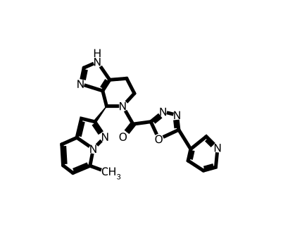 Cc1cccc2cc([C@H]3c4nc[nH]c4CCN3C(=O)c3nnc(-c4cccnc4)o3)nn12